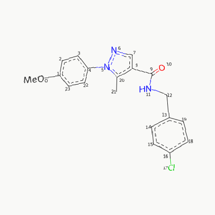 COc1ccc(-n2ncc(C(=O)NCc3ccc(Cl)cc3)c2C)cc1